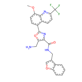 COc1ccc(-c2nc(C(=O)NCc3coc4ccccc34)c(CN)o2)c2ccc(C(F)(F)F)nc12